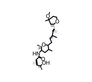 COC1(C)CCO[C@H](/C=C/C(C)=C/CC2O[C@H](C)C(NC(=O)/C=C\[C@H](C)O)CC2C)C1